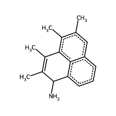 CC1=C(C)C(N)c2cccc3cc(C)c(C)c1c23